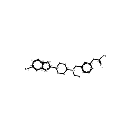 CCN(Cc1cccc(CC(=O)O)c1)C1CCN(c2nc3ccc(Cl)cc3s2)CC1